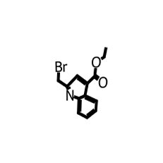 CCOC(=O)c1cc(CBr)nc2ccccc12